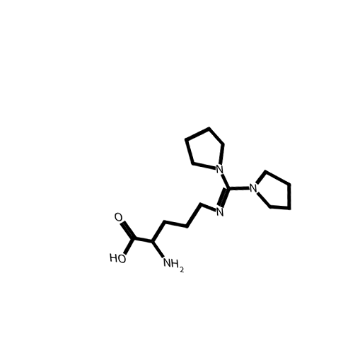 NC(CCCN=C(N1CCCC1)N1CCCC1)C(=O)O